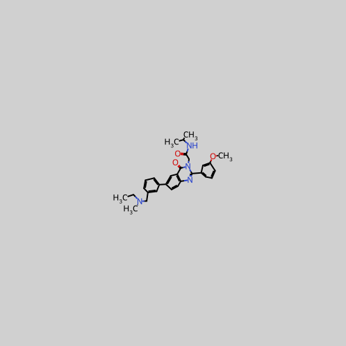 CCN(C)Cc1cccc(-c2ccc3nc(-c4cccc(OC)c4)n(CC(=O)NC(C)C)c(=O)c3c2)c1